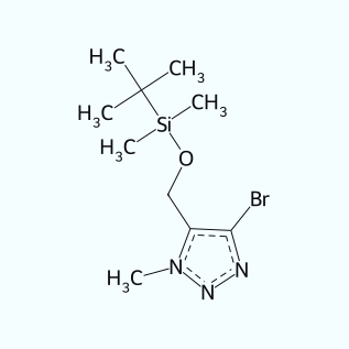 Cn1nnc(Br)c1CO[Si](C)(C)C(C)(C)C